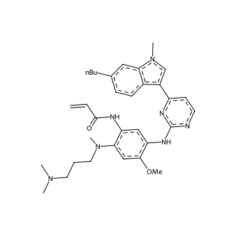 C=CC(=O)Nc1cc(Nc2nccc(-c3cn(C)c4cc(CCCC)ccc34)n2)c(OC)cc1N(C)CCCN(C)C